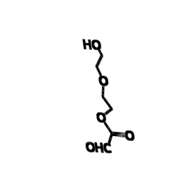 O=CC(=O)OCCOCCO